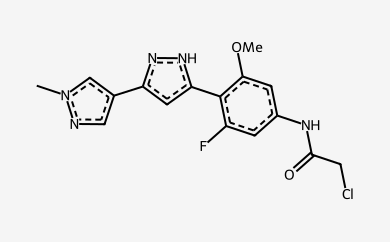 COc1cc(NC(=O)CCl)cc(F)c1-c1cc(-c2cnn(C)c2)n[nH]1